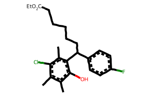 CCOC(=O)CCCCCC(c1ccc(F)cc1)c1c(C)c(Cl)c(C)c(C)c1O